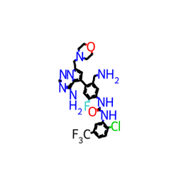 NCc1cc(NC(=O)Nc2cc(C(F)(F)F)ccc2Cl)c(F)cc1-c1cc(CN2CCOCC2)n2ncnc(N)c12